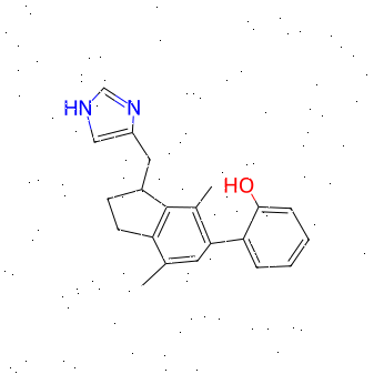 Cc1cc(-c2ccccc2O)c(C)c2c1CCC2Cc1c[nH]cn1